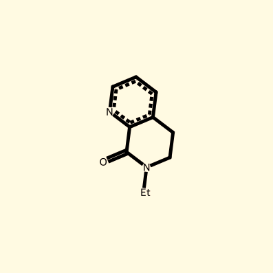 CCN1CCc2cccnc2C1=O